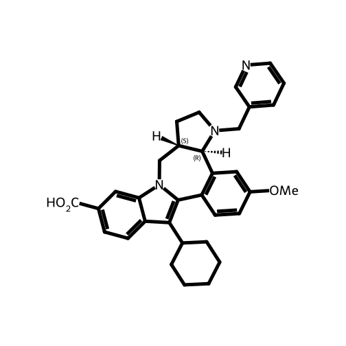 COc1ccc2c(c1)[C@H]1[C@@H](CCN1Cc1cccnc1)Cn1c-2c(C2CCCCC2)c2ccc(C(=O)O)cc21